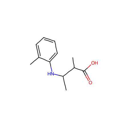 Cc1ccccc1NC(C)C(C)C(=O)O